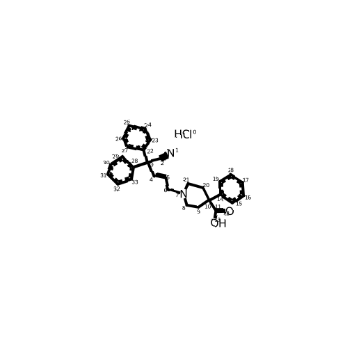 Cl.N#CC(C=CCN1CCC(C(=O)O)(c2ccccc2)CC1)(c1ccccc1)c1ccccc1